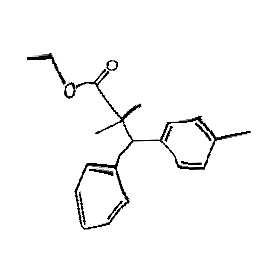 CCOC(=O)C(C)(C)C(c1ccccc1)c1ccc(C)cc1